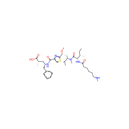 CC[C@H](C)[C@H](NC(=O)CCCCCNC)C(=O)N(C)C(C[C@@H](OC)c1nc(C(=O)N[C@@H](Cc2ccccc2)C[C@H](C)C(=O)O)cs1)C(C)C